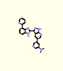 CN(C)c1cncc(-c2cnc3[nH]nc(-c4nc5c(-c6ccccn6)cccc5[nH]4)c3c2)c1